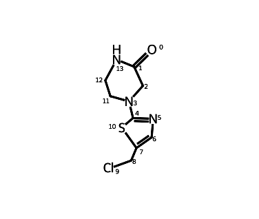 O=C1CN(c2ncc(CCl)s2)CCN1